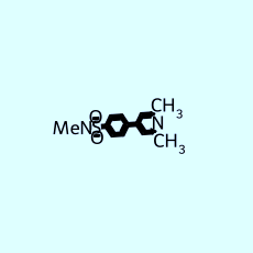 CNS(=O)(=O)c1ccc(-c2cc(C)nc(C)c2)cc1